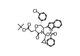 CC(C)(C)OC(=O)C[C@H]1O[C@H](c2cccc(Cl)c2)[C@@H](c2cc3ccccc3n2S(=O)(=O)c2ccccc2)N(CC2CC2)C1=O